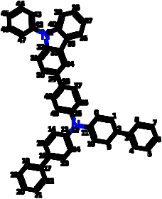 C1=CC(c2ccccc2)CC=C1N(c1ccc(-c2ccccc2)cc1)c1ccc(-c2ccc3c(c2)c2ccccc2n3-c2ccccc2)cc1